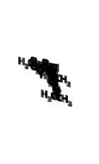 COc1nc(N2CCC(N(C)C)C2)ccc1Nc1ncc(Cl)c(NS(=O)(=O)Cc2ccccc2NS(C)(=O)=O)n1